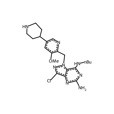 CCCCNc1nc(N)nc2c(Cl)nn(Cc3ncc(C4CCNCC4)cc3OC)c12